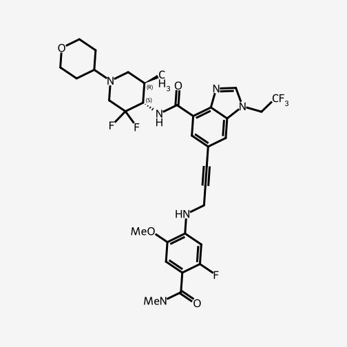 CNC(=O)c1cc(OC)c(NCC#Cc2cc(C(=O)N[C@H]3[C@H](C)CN(C4CCOCC4)CC3(F)F)c3ncn(CC(F)(F)F)c3c2)cc1F